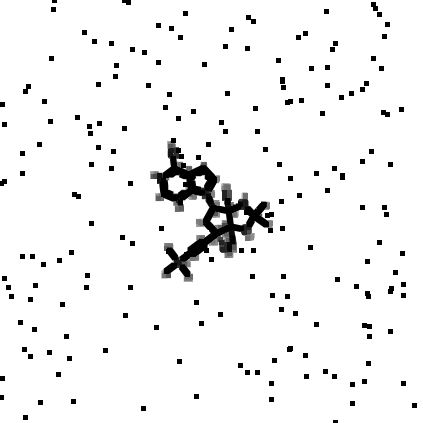 CC1(C)O[C@H]2[C@H](n3ccc4c(Cl)ncnc43)C[C@](O)(C#C[Si](C)(C)C)[C@@]2(C)O1